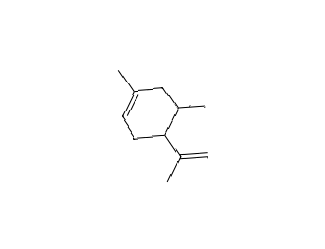 C=C(C)C1CC=C(C)CC1C